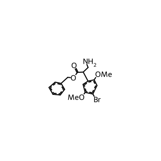 COc1cc(C(CN)C(=O)OCc2ccccc2)c(OC)cc1Br